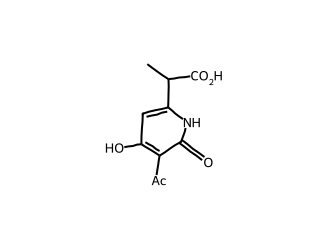 CC(=O)c1c(O)cc(C(C)C(=O)O)[nH]c1=O